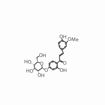 COc1cc(C=CC(=O)c2ccc(O[C@@H]3O[C@H](CO)[C@@H](O)[C@H](O)[C@H]3O)cc2O)ccc1O